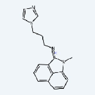 CN1/C(=N/CCCn2ccnc2)c2cccc3cccc1c23